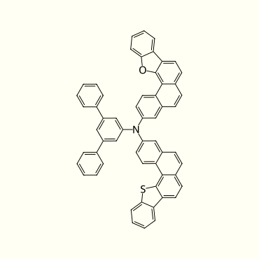 c1ccc(-c2cc(-c3ccccc3)cc(N(c3ccc4c(ccc5ccc6c7ccccc7oc6c54)c3)c3ccc4c(ccc5ccc6c7ccccc7sc6c54)c3)c2)cc1